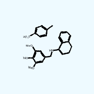 COc1cc(CNC2CCCc3ccccc32)cc(OC)c1O.Cc1ccc(S(=O)(=O)O)cc1